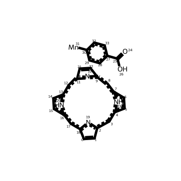 C1=Cc2cc3ccc(cc4nc(cc5ccc(cc1n2)[nH]5)C=C4)[nH]3.O=C(O)c1cc[c]([Mn])cc1